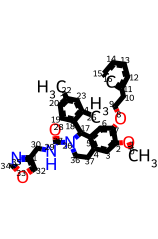 COc1cc2c(cc1OCCc1ccccc1)C(c1ccc(C)cc1C)N(C(=O)NCc1cocn1)CC2